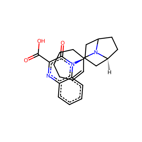 O=C(O)c1nc2ccccc2n([C@H]2CC3CC[C@@H](C2)N3C2C=CCCCC2)c1=O